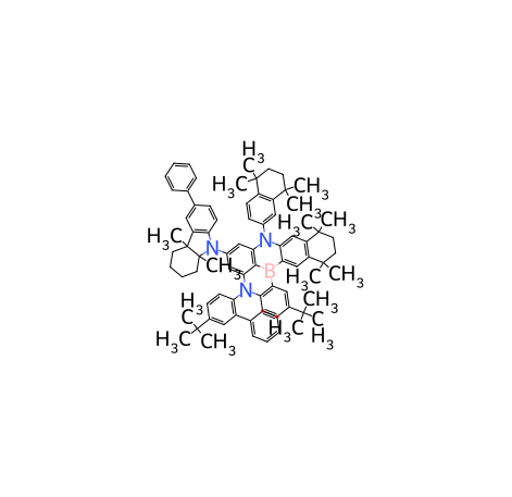 CC(C)(C)c1ccc2c(c1)B1c3cc4c(cc3N(c3ccc5c(c3)C(C)(C)CCC5(C)C)c3cc(N5c6ccc(-c7ccccc7)cc6C6(C)CCCCC56C)cc(c31)N2c1ccc(C(C)(C)C)cc1-c1ccccc1)C(C)(C)CCC4(C)C